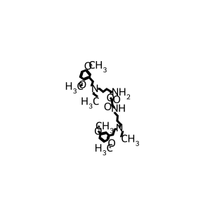 CCCN(CCCCNC(=O)C(=O)OC(N)CCCN(CCC)CCc1cc(OC)ccc1OC)CCc1cc(OC)ccc1OC